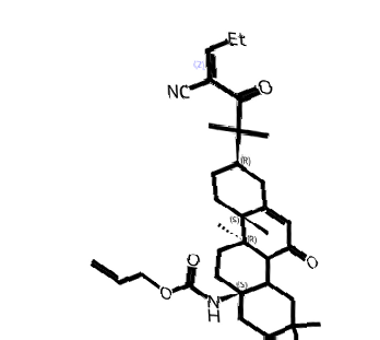 C=CCOC(=O)N[C@]12CCC(C)(C)CC1C1C(=O)C=C3C[C@H](C(C)(C)C(=O)/C(C#N)=C\CC)CC[C@@]3(C)[C@]1(C)CC2